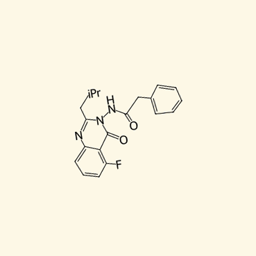 CC(C)Cc1nc2cccc(F)c2c(=O)n1NC(=O)Cc1ccccc1